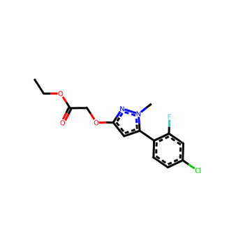 CCOC(=O)COc1cc(-c2ccc(Cl)cc2F)n(C)n1